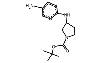 CC(C)(C)OC(=O)N1CCC(Nc2ccc(N)cn2)C1